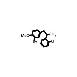 COc1ccc(CC(C)c2ccccc2Cl)cc1C(C)C